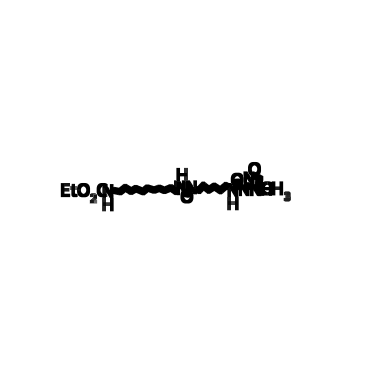 CCOC(=O)NCCCCCCCCCCCCNC(=O)NCCCCCCNC(=O)Nc1nc(=O)cc(C)[nH]1